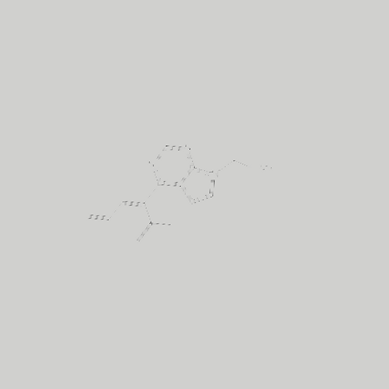 C=C/C=C(\C(=C)F)c1ncnc2c1ccn2COC